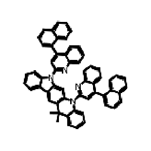 CC1(C)c2ccccc2N(c2cc(-c3cccc4ccccc34)c3ccccc3n2)c2cc3c(cc21)c1ccccc1n3-c1cc(-c2cccc3ccccc23)c2ccccc2n1